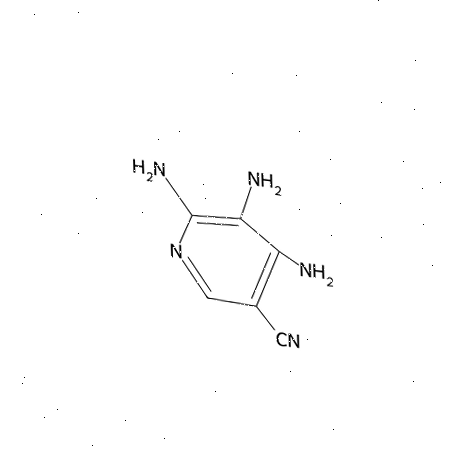 N#Cc1cnc(N)c(N)c1N